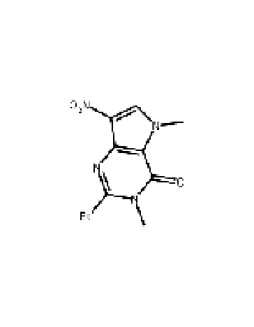 CCc1nc2c([N+](=O)[O-])cn(C)c2c(=O)n1C